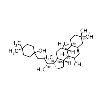 CC1C=C2C[C@@](C)(O)CC[C@]2(C)[C@H]2CC[C@]3(C)[C@@H]([C@H](C)CCC4(O)CCC(C)(C)CC4)CC[C@H]3[C@H]12